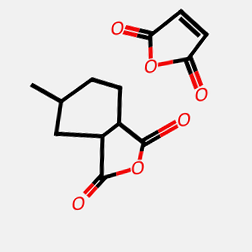 CC1CCC2C(=O)OC(=O)C2C1.O=C1C=CC(=O)O1